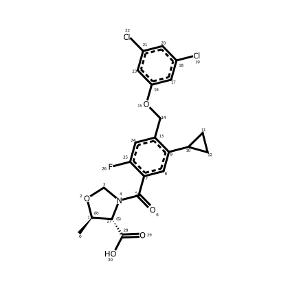 C[C@H]1OCN(C(=O)c2cc(C3CC3)c(COc3cc(Cl)cc(Cl)c3)cc2F)[C@@H]1C(=O)O